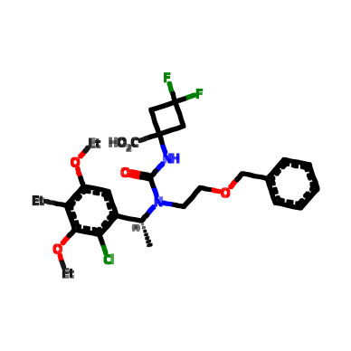 CCOc1cc([C@@H](C)N(CCOCc2ccccc2)C(=O)NC2(C(=O)O)CC(F)(F)C2)c(Cl)c(OCC)c1CC